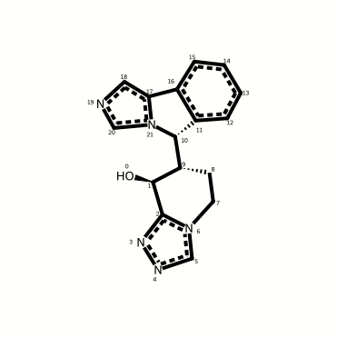 O[C@@H]1c2nncn2CC[C@H]1[C@H]1c2ccccc2-c2cncn21